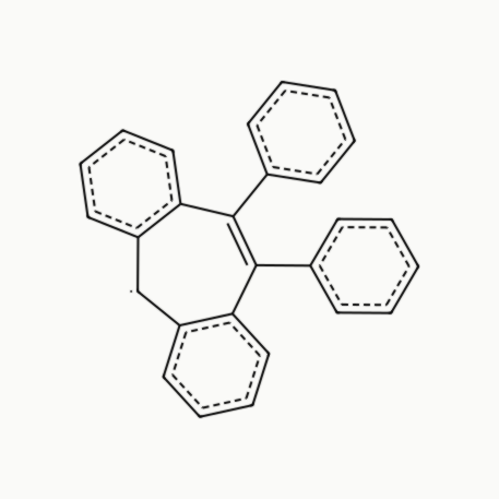 [CH]1c2ccccc2C(c2ccccc2)=C(c2ccccc2)c2ccccc21